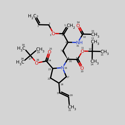 C=CCOC(=C)C(C[C@@H](C(=O)OC(C)(C)C)N1CC(C=CC)CC1C(=O)OC(C)(C)C)NC(C)=O